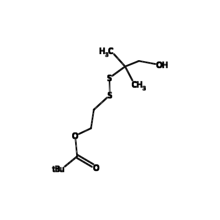 CC(C)(CO)SSCCOC(=O)C(C)(C)C